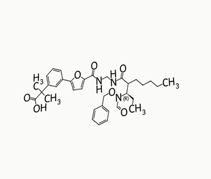 CCCCCC(C(=O)NCNC(=O)c1ccc(-c2cccc(C(C)(C)C(=O)O)c2)o1)[C@@H](CC)N(C=O)OCc1ccccc1